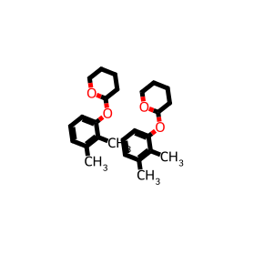 Cc1cccc(OC2CCCCO2)c1C.Cc1cccc(OC2CCCCO2)c1C